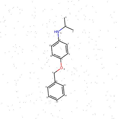 CC(C)Nc1ccc(OCc2ccccc2)cc1